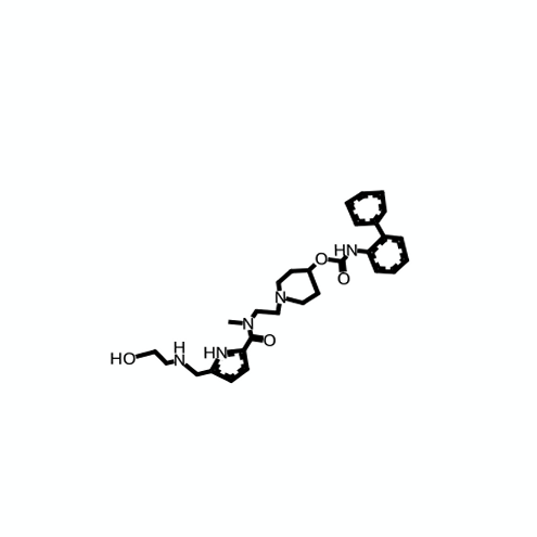 CN(CCN1CCC(OC(=O)Nc2ccccc2-c2ccccc2)CC1)C(=O)c1ccc(CNCCO)[nH]1